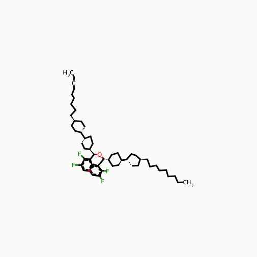 CCCCCCCCC[C@H]1CC[C@H]([C@H]2CC[C@H](C(OC(c3cccc(F)c3F)[C@H]3CC[C@H]([C@H]4CC[C@H](CCCCCCCCC)CC4)CC3)c3cccc(F)c3F)CC2)CC1